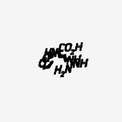 N=C(N)NCCCC(NP1CCCOO1)C(=O)O